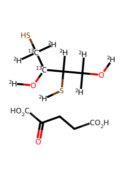 O=C(O)CCC(=O)C(=O)O.[2H]O[13CH](C([2H])(S[2H])C([2H])([2H])O[2H])[13C]([2H])([2H])S